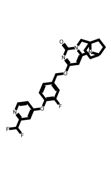 O=c1nc(OCc2ccc(Oc3ccnc(C(F)F)c3)c(F)c2)cc2n1CC13CCC(CC1)N23